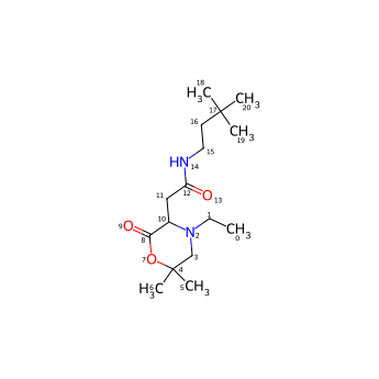 CCN1CC(C)(C)OC(=O)C1CC(=O)NCCC(C)(C)C